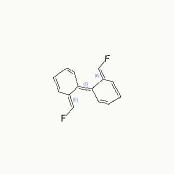 F\C=c1/cccc/c1=c1/cccc/c1=C\F